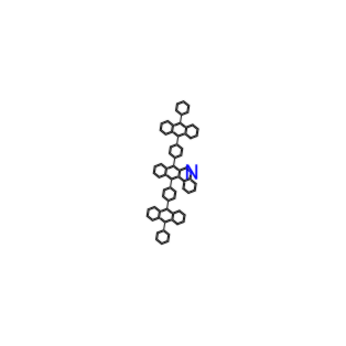 c1ccc(-c2c3ccccc3c(-c3ccc(-c4c5ccccc5c(-c5ccc(-c6c7ccccc7c(-c7ccccc7)c7ccccc67)cc5)c5c4cnc4ccccc45)cc3)c3ccccc23)cc1